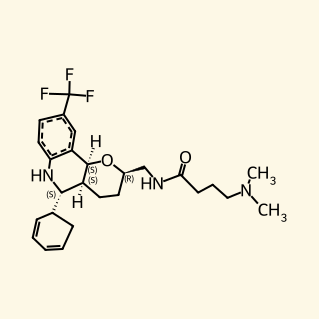 CN(C)CCCC(=O)NC[C@H]1CC[C@@H]2[C@H](O1)c1cc(C(F)(F)F)ccc1N[C@H]2C1C=CC=CC1